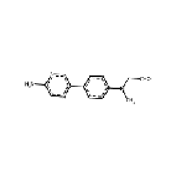 CN(CC=O)c1ccc(-c2cnc(N)cn2)cc1